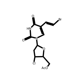 CC(=O)OCC1OC(n2cc(/C=C/Br)c(=O)[nH]c2=O)CC1Cl